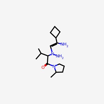 CC(C)C(C(=O)N1CCCC1C)N(N)/C=C(\N)C1CCC1